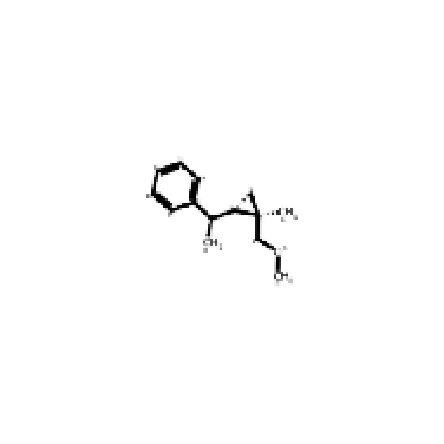 COC[C@]1(C)C[C@H]1[C@@H](C)c1ccccc1